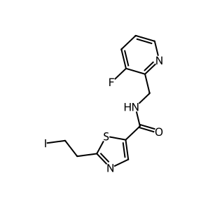 O=C(NCc1ncccc1F)c1cnc(CCI)s1